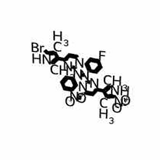 Cc1[nH]c(Br)c(C)c1-c1ccnc(N(c2cccc([N+](=O)[O-])c2)N(c2ccc(F)cc2)c2nccc(-c3c(C)[nH]c([N+](=O)[O-])c3C)n2)n1